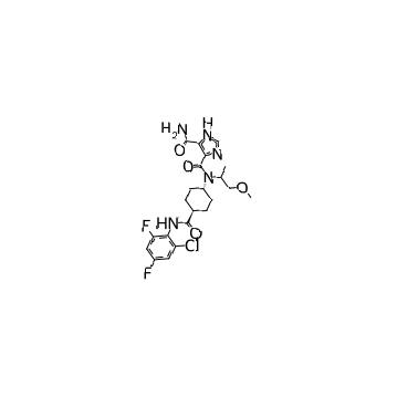 COCC(C)N(C(=O)c1nc[nH]c1C(N)=O)[C@H]1CC[C@H](C(=O)Nc2c(F)cc(F)cc2Cl)CC1